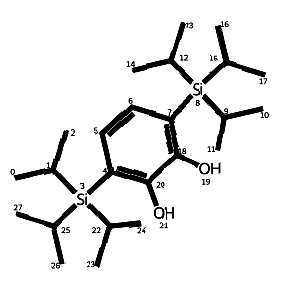 CC(C)[Si](c1ccc([Si](C(C)C)(C(C)C)C(C)C)c(O)c1O)(C(C)C)C(C)C